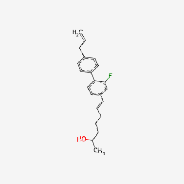 C=CCc1ccc(-c2ccc(/C=C/CCCC(C)O)cc2F)cc1